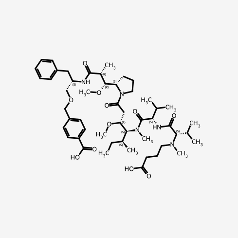 CC[C@H](C)[C@@H]([C@@H](CC(=O)N1CCC[C@H]1[C@H](OC)[C@@H](C)C(=O)N[C@H](COCc1ccc(C(=O)O)cc1)Cc1ccccc1)OC)N(C)C(=O)[C@@H](NC(=O)[C@H](C(C)C)N(C)CCCC(=O)O)C(C)C